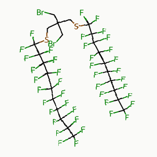 FC(F)(F)C(F)(F)C(F)(F)C(F)(F)C(F)(F)C(F)(F)C(F)(F)C(F)(F)C(F)(F)C(F)(F)SCC(CBr)(CBr)CSC(F)(F)C(F)(F)C(F)(F)C(F)(F)C(F)(F)C(F)(F)C(F)(F)C(F)(F)C(F)(F)C(F)(F)F